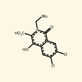 CC(C)(C)Cn1c(C(=O)O)c(O)c2cc(Cl)c(Cl)cc2c1=O